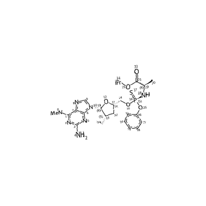 CNc1nc(N)nc2c1ncn2[C@@H]1O[C@H](CO[P@@](=S)(N[C@H](C)C(=O)OC(C)C)Oc2ccccc2)C[C@@H]1C